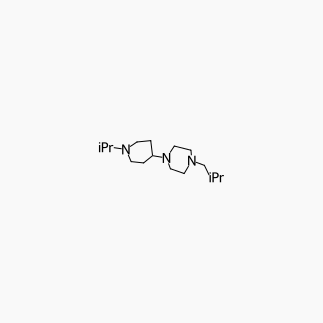 CC(C)CN1CCN(C2CCN(C(C)C)CC2)CC1